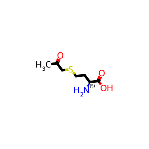 CC(=O)CSCC[C@H](N)C(=O)O